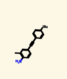 Cc1cc(C#Cc2ccc(C(C)(C)C)cc2)ccc1N